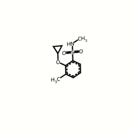 CNS(=O)(=O)c1cccc(C)c1OC1CC1